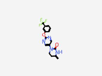 C=C1CCN(c2cnc(Oc3cccc(C(F)(F)F)c3)nc2)C(=O)N1